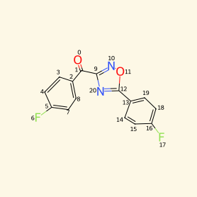 O=C(c1ccc(F)cc1)c1noc(-c2ccc(F)cc2)n1